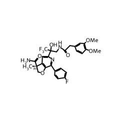 COc1ccc(CC(=O)NCC(O)(c2cc3c(c(-c4ccc(F)cc4)n2)OC[C@]3(C)C(N)=O)C(F)(F)F)cc1OC